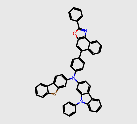 c1ccc(-c2nc3c(cc(-c4ccc(N(c5ccc6c(c5)sc5ccccc56)c5ccc6c7ccccc7n(-c7ccccc7)c6c5)cc4)c4ccccc43)o2)cc1